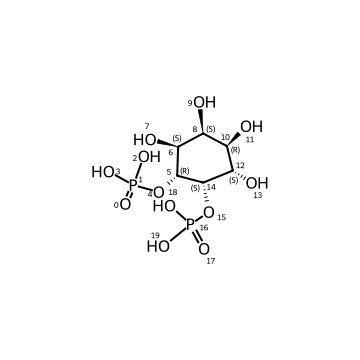 O=P(O)(O)O[C@@H]1[C@@H](O)[C@@H](O)[C@@H](O)[C@H](O)[C@@H]1OP(=O)(O)O